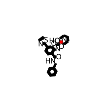 O=C(NCc1ccccc1)c1ccc(-c2nccs2)c2oc(N3CC4CC(C3)N4C(=O)O)nc12